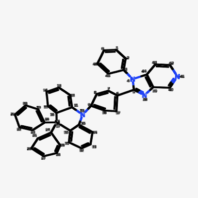 c1ccc(-n2c(-c3ccc(N4c5ccccc5[Si](c5ccccc5)(c5ccccc5)c5ccccc54)cc3)nc3cnccc32)cc1